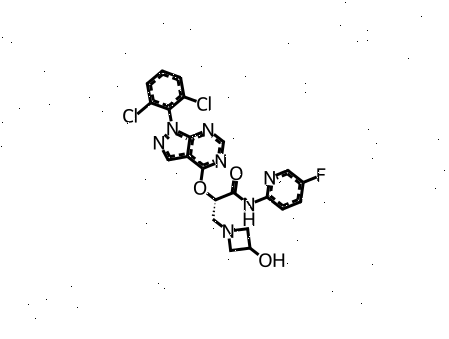 O=C(Nc1ccc(F)cn1)[C@H](CN1CC(O)C1)Oc1ncnc2c1cnn2-c1c(Cl)cccc1Cl